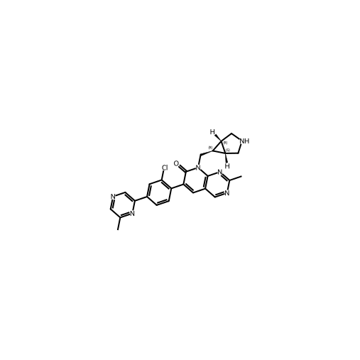 Cc1cncc(-c2ccc(-c3cc4cnc(C)nc4n(C[C@H]4[C@@H]5CNC[C@@H]54)c3=O)c(Cl)c2)n1